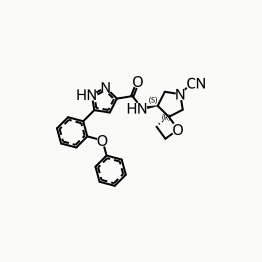 N#CN1C[C@H](NC(=O)c2cc(-c3ccccc3Oc3ccccc3)[nH]n2)[C@@]2(CCO2)C1